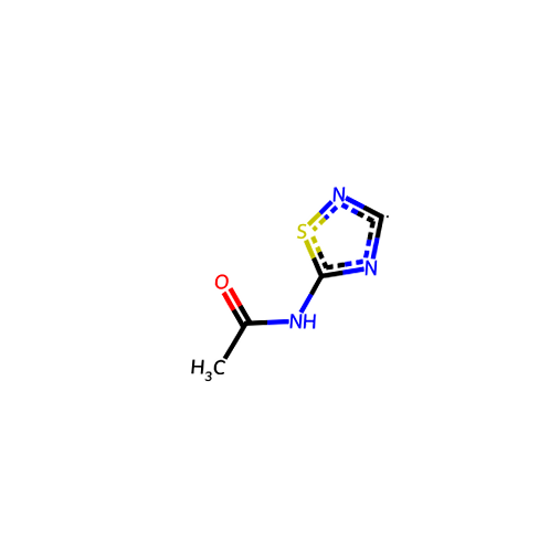 CC(=O)Nc1n[c]ns1